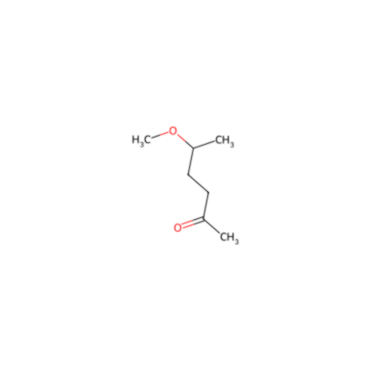 COC(C)CCC(C)=O